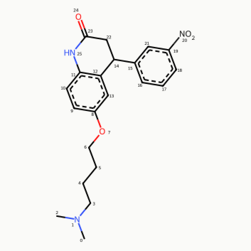 CN(C)CCCCOc1ccc2c(c1)C(c1cccc([N+](=O)[O-])c1)CC(=O)N2